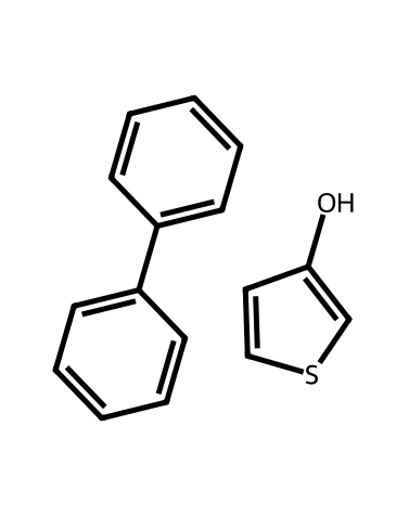 Oc1ccsc1.c1ccc(-c2ccccc2)cc1